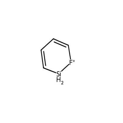 C1=C[F+][SiH2]C=C1